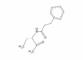 CC[C@H](NC(=O)CCc1ccccc1)C(C)=O